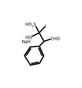 O=CC(c1ccccc1)C(O)(I)S(=O)(=O)O.[NaH]